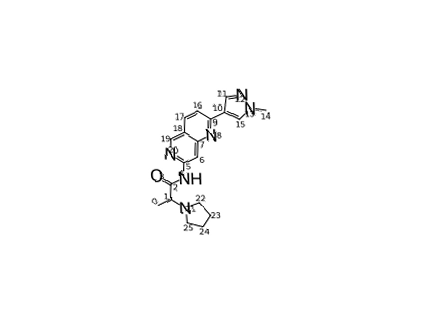 CC(C(=O)Nc1cc2nc(-c3cnn(C)c3)ccc2cn1)N1CCCC1